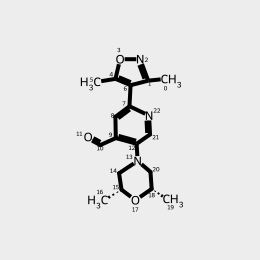 Cc1noc(C)c1-c1cc(C=O)c(N2C[C@@H](C)O[C@@H](C)C2)cn1